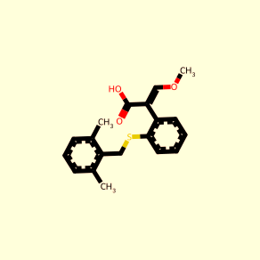 CO/C=C(/C(=O)O)c1ccccc1SCc1c(C)cccc1C